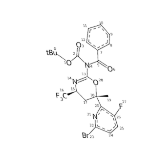 CC(C)(C)OC(=O)N(C(=O)c1ccccc1)C1=N[C@H](C(F)(F)F)C[C@@](C)(c2nc(Br)ccc2F)O1